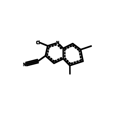 Cc1cc(C)c2cc(C#N)c(Cl)nc2c1